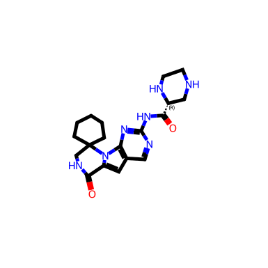 O=C1NCC2(CCCCC2)n2c1cc1cnc(NC(=O)[C@H]3CNCCN3)nc12